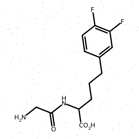 NCC(=O)NC(CCCc1ccc(F)c(F)c1)C(=O)O